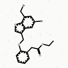 CCOC(=O)Cc1ccccc1OCc1coc2c(CBr)cc(Br)cc12